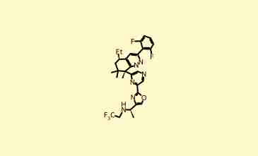 CC[C@@H]1CC(C)(C)[C@@](C)(c2cncc(-c3nc([C@@H](C)NCC(F)(F)F)co3)n2)c2nnc(-c3c(F)cccc3F)cc21